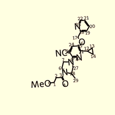 COCCC(=O)N1CCN(c2nc(C3CC3)c(OCc3ccccn3)cc2C#N)CC1C